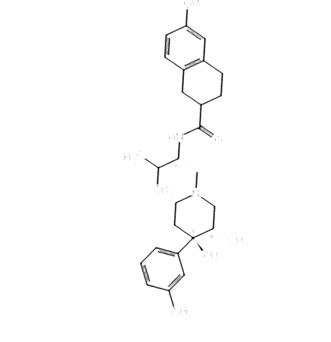 CC(C)[C@@H](CN1CC[C@@](C)(c2cccc(O)c2)[C@@H](C)C1)NC(=O)C1CCc2cc(O)ccc2C1